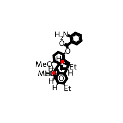 CC[C@H]1C[C@]2(O)[C@@H]3C[C@@H]4[C@@]5(OC(=O)c6ccccc6N)CC[C@H](OC)[C@@]4(C3N(CC)C5)[C@@H]3C[C@H]1[C@H](OC)[C@@]32O